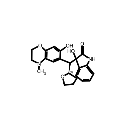 CN1CCOc2cc(O)c(C([C@H]3CCCO3)C3(O)C(=O)Nc4ccccc43)cc21